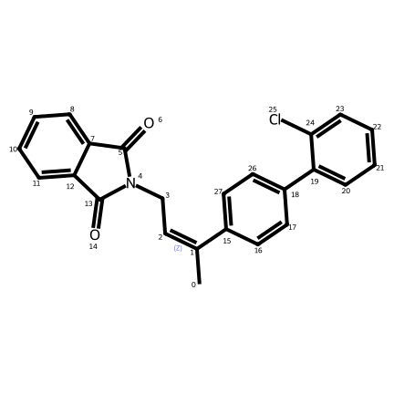 C/C(=C/CN1C(=O)c2ccccc2C1=O)c1ccc(-c2ccccc2Cl)cc1